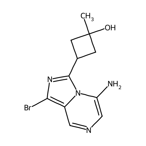 CC1(O)CC(c2nc(Br)c3cncc(N)n23)C1